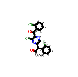 COC(=O)C(c1cnc(C(=O)c2ccccc2Cl)c(Cl)n1)c1ccccc1F